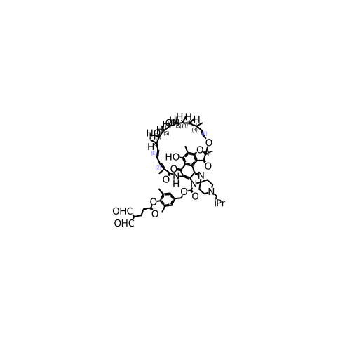 C/C1=C/C=C/[C@H](C)[C@H](O)[C@@H](C)[C@@H](O)[C@@H](C)[C@H](C)[C@H](C)[C@@H](C)/C=C/O[C@@]2(C)Oc3c(C)c(O)c4c(c3C2=O)C2=NC3(CCN(CC(C)C)CC3)N(C(=O)OCc3cc(C)c(OC(=O)CCC(C=O)C=O)c(C)c3)C2=C(NC1=O)C4=O